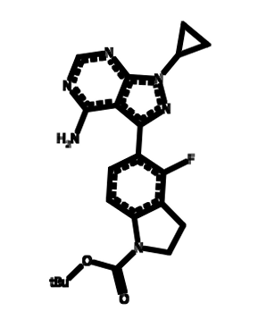 CC(C)(C)OC(=O)N1CCc2c1ccc(-c1nn(C3CC3)c3ncnc(N)c13)c2F